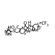 CO[C@@]1(NC(=O)C[S+]([O-])CC(F)(F)F)C(=O)N2C(C(=O)O)=C(CSc3nnnn3C)CS[C@H]21